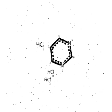 Cl.Cl.Cl.c1cncnc1